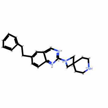 c1ccc(CCc2ccc3nc(N4CC5(CCNCC5)C4)ncc3c2)cc1